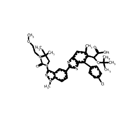 COCCN1C(=O)N(c2nn(C)c3ccc(-c4nc5cc(C)c(C(OC(C)(C)C)C(=O)O)c(-c6ccc(Cl)cc6)c5s4)cc23)CC1(C)C